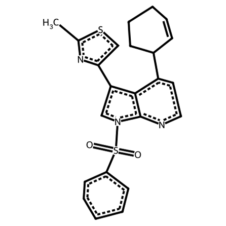 Cc1nc(-c2cn(S(=O)(=O)c3ccccc3)c3nccc(C4C=CCCC4)c23)cs1